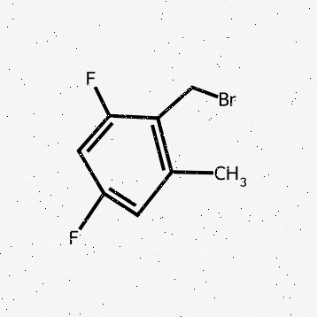 Cc1cc(F)cc(F)c1CBr